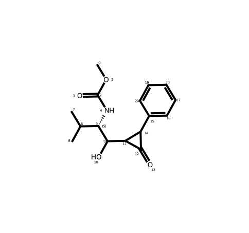 COC(=O)N[C@@H](C(C)C)C(O)C1C(=O)C1c1ccccc1